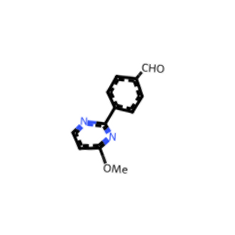 COc1ccnc(-c2ccc(C=O)cc2)n1